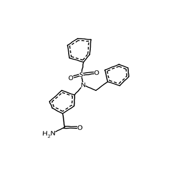 NC(=O)c1cccc(N(Cc2ccccc2)S(=O)(=O)c2ccccc2)c1